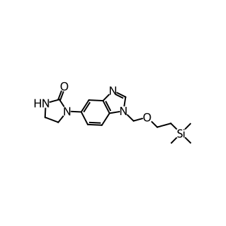 C[Si](C)(C)CCOCn1cnc2cc(N3CCNC3=O)ccc21